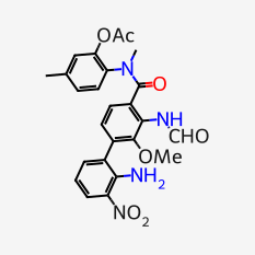 COc1c(-c2cccc([N+](=O)[O-])c2N)ccc(C(=O)N(C)c2ccc(C)cc2OC(C)=O)c1NC=O